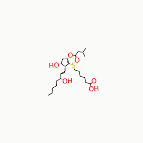 CCCCC[C@H](O)C=C[C@@H]1C(SCCCCCC(=O)O)=C(OC(=O)CC(C)C)C[C@H]1O